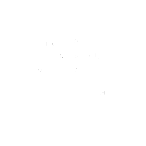 Cc1cccc(C(=O)N(C)S(C)(=O)=O)c1